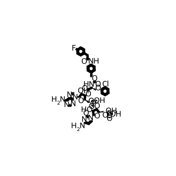 Nc1ccn(C2O[C@H](COP(=O)(O)O)[C@@H](OP(=O)(O)OC[C@H]3O[C@@H](n4cnc5c(N)ncnc54)[C@H](O)[C@@H]3OC(=O)[C@H](COc3ccccc3Cl)NC(=O)OCc3ccc(NC(=O)Cc4ccc(F)cc4)cc3)[C@H]2O)c(=O)n1